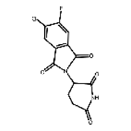 O=C1CCC(N2C(=O)c3cc(F)c(Cl)cc3C2=O)C(=O)N1